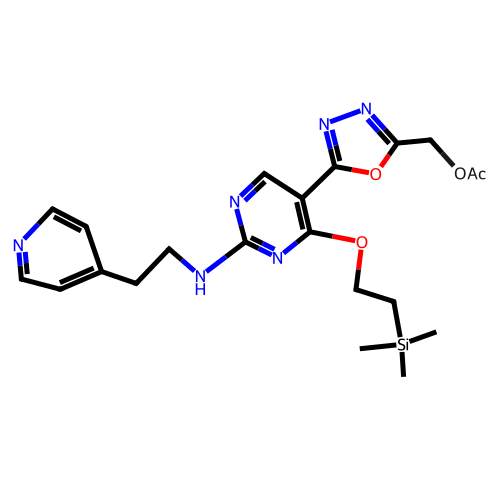 CC(=O)OCc1nnc(-c2cnc(NCCc3ccncc3)nc2OCC[Si](C)(C)C)o1